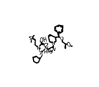 COC(C)COC(c1ccccc1)C1CCCN(c2nsnc2N[C@H](CC2CCCCC2)CN(CC[Si](C)(C)C)C(=O)O)C1